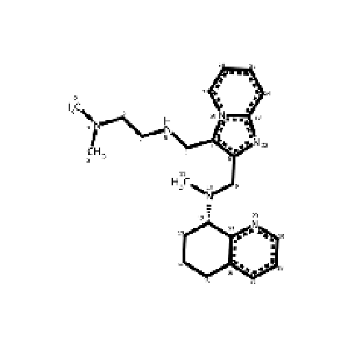 CN(C)CCNCc1c(CN(C)[C@H]2CCCc3cccnc32)nc2ccccn12